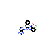 CC[C@H](Nc1ncnc2[nH]cnc12)c1nc2ccc(F)c(Cl)c2c(=O)n1-c1ccccc1